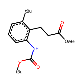 COC(=O)CCc1c(NC(=O)OC(C)(C)C)cccc1C(C)(C)C